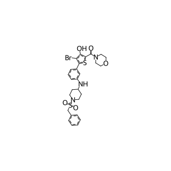 O=C(c1sc(-c2cccc(NC3CCN(S(=O)(=O)Cc4ccccc4)CC3)c2)c(Br)c1O)N1CCOCC1